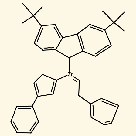 CC(C)(C)c1ccc2c(c1)-c1cc(C(C)(C)C)ccc1[CH]2[Zr](=[CH]Cc1ccccc1)[C]1=CC(c2ccccc2)=CC1